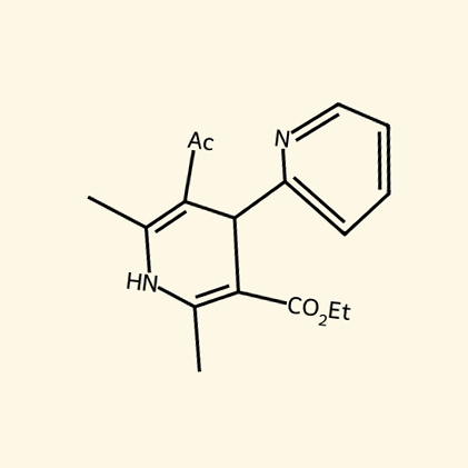 CCOC(=O)C1=C(C)NC(C)=C(C(C)=O)C1c1ccccn1